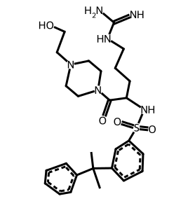 CC(C)(c1ccccc1)c1cccc(S(=O)(=O)NC(CCCNC(=N)N)C(=O)N2CCN(CCO)CC2)c1